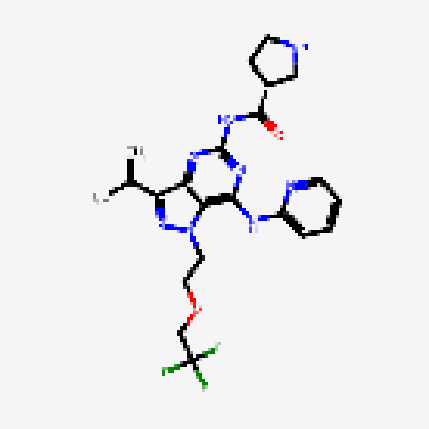 CC(C)c1nn(CCOCC(F)(F)F)c2c(Nc3ccccn3)nc(NC(=O)[C@H]3CCNC3)nc12